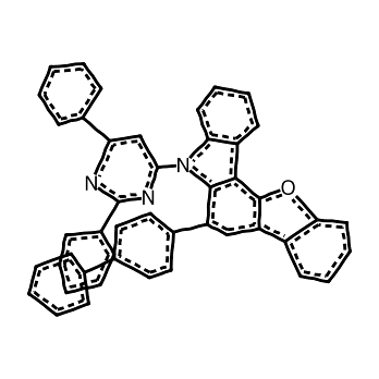 c1ccc(-c2ccc(-c3cc4c5ccccc5oc4c4c5ccccc5n(-c5cc(-c6ccccc6)nc(-c6ccccc6)n5)c34)cc2)cc1